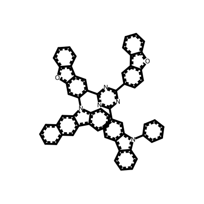 c1ccc(-n2c3ccccc3c3ccc(-c4nc(-c5ccc6oc7ccccc7c6c5)nc(-c5cc6c(cc5-n5c7ccccc7c7cc8ccccc8cc75)oc5ccccc56)n4)cc32)cc1